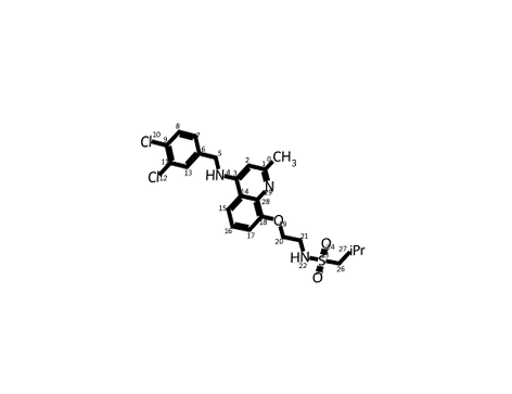 Cc1cc(NCc2ccc(Cl)c(Cl)c2)c2cccc(OCCNS(=O)(=O)CC(C)C)c2n1